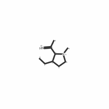 CCC1CCN(C)C1C(C)=N